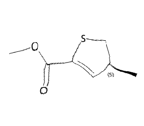 COC(=O)C1=C[C@H](C)CS1